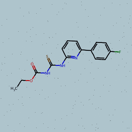 CCOC(=O)NC(=S)Nc1cccc(-c2ccc(F)cc2)n1